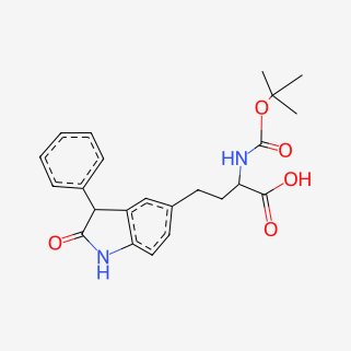 CC(C)(C)OC(=O)NC(CCc1ccc2c(c1)C(c1ccccc1)C(=O)N2)C(=O)O